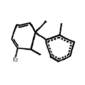 CCC1=CC=CC(C)(c2ccccc2C)C1C